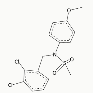 COc1ccc(N(Cc2cccc(Cl)c2Cl)S(C)(=O)=O)cc1